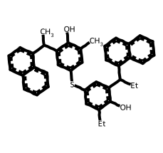 CCc1cc(Sc2cc(C)c(O)c(C(C)c3cccc4ccccc34)c2)cc(C(CC)c2cccc3ccccc23)c1O